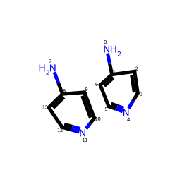 Nc1ccncc1.Nc1ccncc1